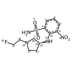 NS(=O)(=O)c1cccc([N+](=O)[O-])c1N[C@H]1CCN(CCF)C1